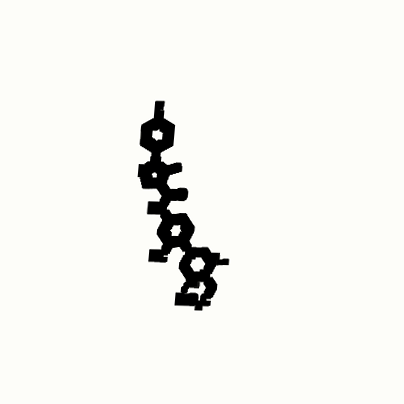 CCOC(=O)CN1[C@H](C)CN(c2ccc(NC(=O)c3cnn(-c4ccc(F)cc4)c3C)cc2C#N)C[C@@H]1C